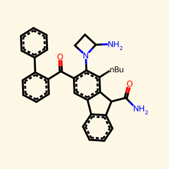 CCCCc1c2c(cc(C(=O)c3ccccc3-c3ccccc3)c1N1CCC1N)-c1ccccc1C2C(N)=O